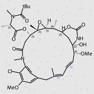 COc1cc2cc(c1Cl)N(C)C(=O)C[C@H](OC(=O)[C@H](C)N(C)C(=O)C(C)(C)C)[C@]1(C)O[C@H]1[C@H](C)[C@@H]1C[C@@](O)(NC(=O)O1)[C@H](OC)/C=C/C=C(\C)C2